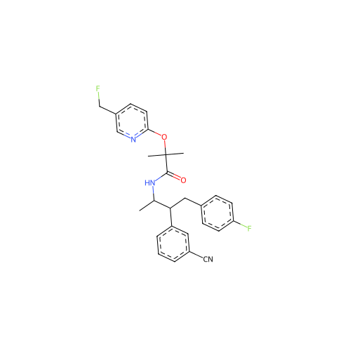 CC(NC(=O)C(C)(C)Oc1ccc(CF)cn1)C(Cc1ccc(F)cc1)c1cccc(C#N)c1